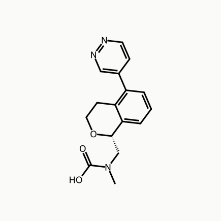 CN(C[C@@H]1OCCc2c(-c3ccnnc3)cccc21)C(=O)O